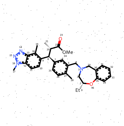 CC[C@@H]1CN(Cc2cc([C@@H](c3ccc4c(nnn4C)c3C)[C@H](C)C(=O)OC)ccc2C)Cc2ccccc2O1